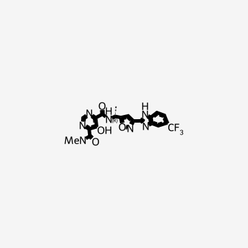 CNC(=O)c1ncnc(C(=O)N[C@H](C)c2cc(-c3nc4cc(C(F)(F)F)ccc4[nH]3)no2)c1O